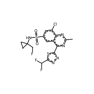 Cc1nc(-c2nnc(C(F)F)s2)c2cc(S(=O)(=O)NC3(CF)CC3)cc(Cl)c2n1